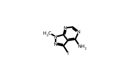 Cn1nc(I)c2c(N)ncnc21